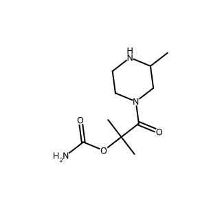 CC1CN(C(=O)C(C)(C)OC(N)=O)CCN1